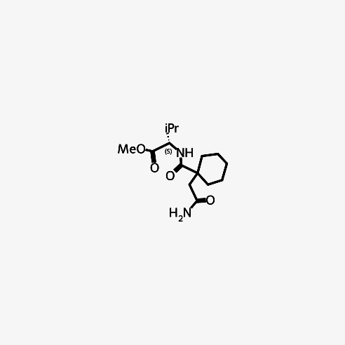 COC(=O)[C@@H](NC(=O)C1(CC(N)=O)CCCCC1)C(C)C